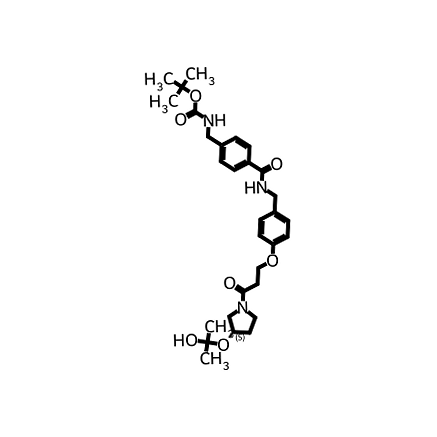 CC(C)(C)OC(=O)NCc1ccc(C(=O)NCc2ccc(OCCC(=O)N3CC[C@H](OC(C)(C)O)C3)cc2)cc1